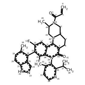 C=CC(=O)N1CC2CCc3c(c4cc(F)c(-c5c(C)ccc6[nH]ncc56)c(F)c4n(-c4c(C)ccnc4C(C)C)c3=O)N2CC1C